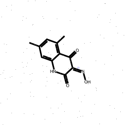 Cc1cc(C)c2c(c1)NC(=O)/C(=N\O)C2=O